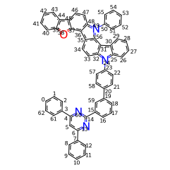 c1ccc(-c2cc(-c3ccccc3)nc(-c3cccc(-c4ccc(-n5c6ccccc6c6c5ccc5c7c8oc9ccccc9c8ccc7n(-c7ccccc7)c56)cc4)c3)n2)cc1